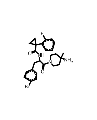 CC1(N)CCN(C(=O)C(Cc2ccc(Br)cc2)NC(=O)C2(c3ccccc3F)CC2)CC1